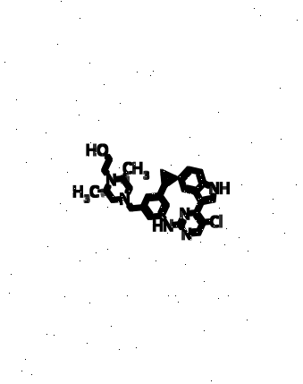 C[C@@H]1CN(Cc2cc(Nc3ncc(Cl)c(-c4c[nH]c5ccccc45)n3)cc(C3CC3)c2)C[C@H](C)N1CCO